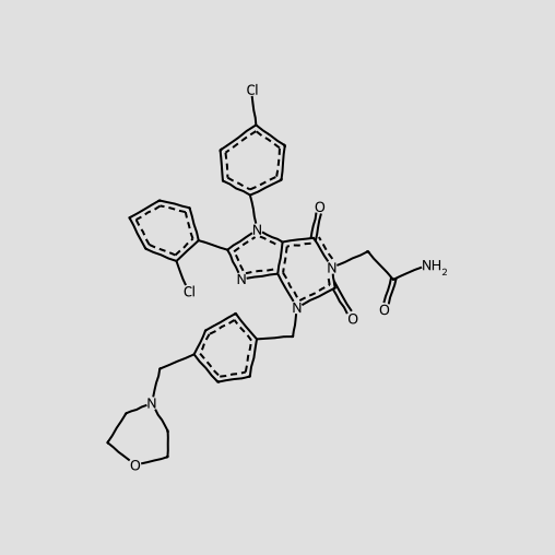 NC(=O)Cn1c(=O)c2c(nc(-c3ccccc3Cl)n2-c2ccc(Cl)cc2)n(Cc2ccc(CN3CCOCC3)cc2)c1=O